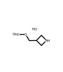 Cl.O=COCC1CNC1